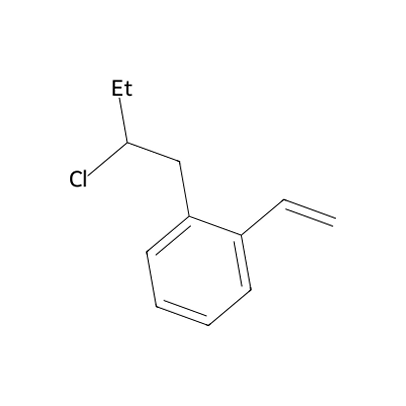 C=Cc1ccccc1CC(Cl)CC